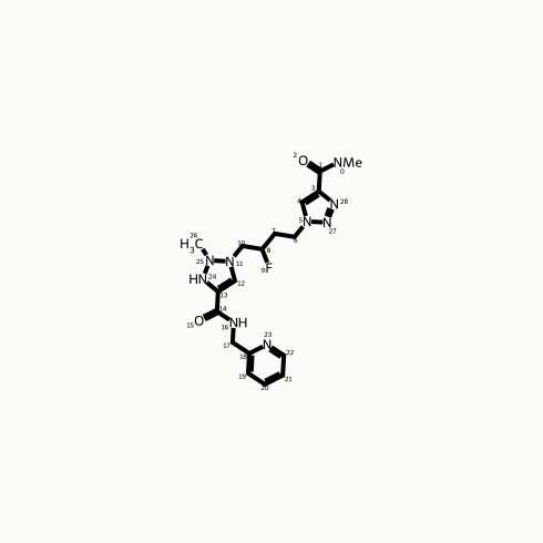 CNC(=O)c1cn(CCC(F)CN2C=C(C(=O)NCc3ccccn3)NN2C)nn1